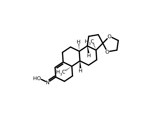 C[C@]12CC/C(=N/O)C=C1CC[C@@H]1[C@@H]2CC[C@@]2(C)[C@H]1CCC21OCCO1